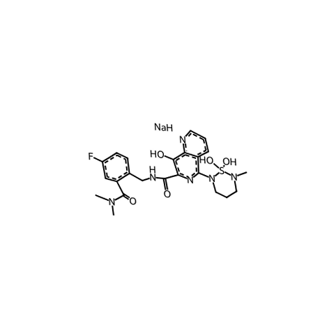 CN(C)C(=O)c1cc(F)ccc1CNC(=O)c1nc(N2CCCN(C)S2(O)O)c2cccnc2c1O.[NaH]